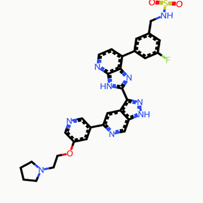 CS(=O)(=O)NCc1cc(F)cc(-c2ccnc3[nH]c(-c4n[nH]c5cnc(-c6cncc(OCCN7CCCC7)c6)cc45)nc23)c1